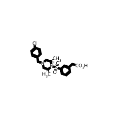 C[C@@H]1CN(Cc2ccc(Cl)cc2)C[C@H](C)N1S(=O)(=O)c1cccc(CC(=O)O)c1